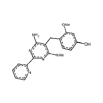 CNc1nc(-c2ccccn2)nc(N)c1Cc1ccc(O)cc1OC